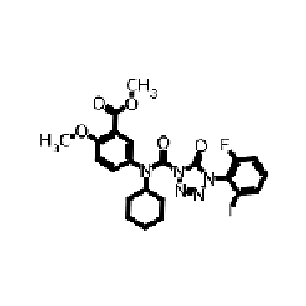 COC(=O)c1cc(N(C(=O)n2nnn(-c3c(F)cccc3I)c2=O)C2CCCCC2)ccc1OC